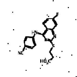 N#Cc1ccc(Nc2nc(SCCC(=O)O)nc3cc(F)ccc23)cc1